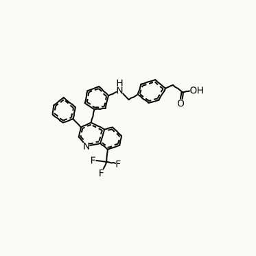 O=C(O)Cc1ccc(CNc2cccc(-c3c(-c4ccccc4)cnc4c(C(F)(F)F)cccc34)c2)cc1